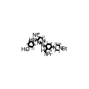 CCN1CCN(c2ccc(Nc3ncc(C#N)c(Nc4ccc(O)cc4)n3)c(C[C](C)C)c2)CC1